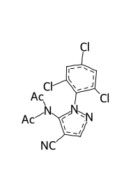 CC(=O)N(C(C)=O)c1c(C#N)cnn1-c1c(Cl)cc(Cl)cc1Cl